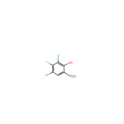 O=C(O)c1cc(Cl)c(F)c(Cl)c1O